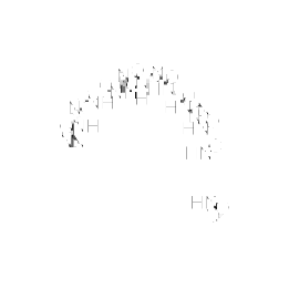 Cn1cc(NC(=O)c2nc(NC(=O)CCNC(=O)c3cc(NC(=O)c4nccn4C)cn3C)cn2C)cc1C(=O)NCCC(=O)Nc1cn(C)c(C(=O)NCCC(=O)NCCCCCCCNC(=O)OC(C)(C)C)n1